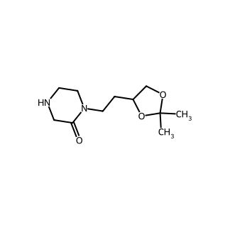 CC1(C)OCC(CCN2CCNCC2=O)O1